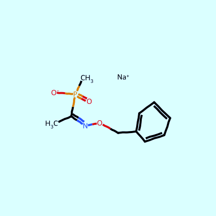 CC(=NOCc1ccccc1)P(C)(=O)[O-].[Na+]